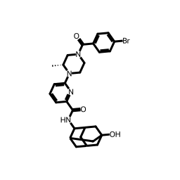 C[C@@H]1CN(C(=O)c2ccc(Br)cc2)CCN1c1cccc(C(=O)NC2C3CC4CC2CC(O)(C4)C3)n1